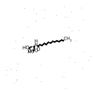 CCCCCCCCCCCCCC(=O)N[C@@H](CC(=O)O)C(=O)O